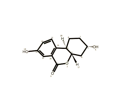 O=C1O[C@H]2C[C@@H](O)CC[C@@H]2c2ccc(O)cc21